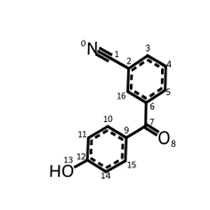 N#Cc1cccc(C(=O)c2ccc(O)cc2)c1